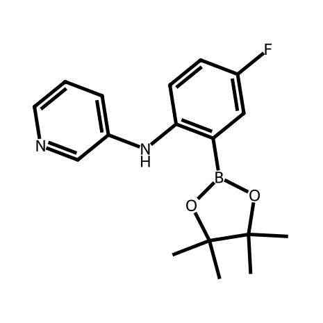 CC1(C)OB(c2cc(F)ccc2Nc2cccnc2)OC1(C)C